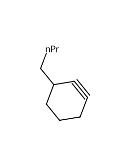 CCCCC1C#CCCC1